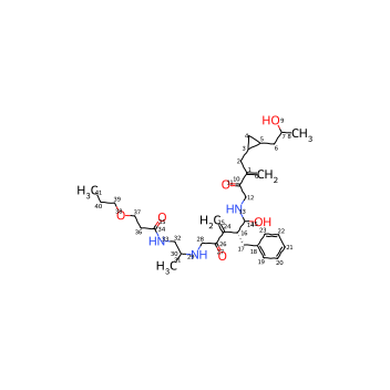 C=C(CC1CC1CC(C)O)C(=O)CNC(O)[C@H](Cc1ccccc1)C(=C)C(=O)CNC(C)CNC(=O)CCOCCC